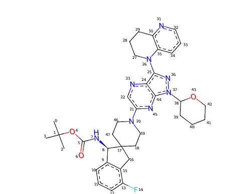 CC(C)(C)OC(=O)N[C@@H]1c2cccc(F)c2CC12CCN(c1cnc3c(N4CCCc5ncccc54)nn(C4CCCCO4)c3n1)CC2